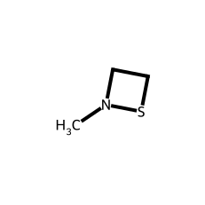 CN1CCS1